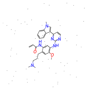 C=CC(=O)Nc1cc(Nc2nccc(-c3cn(C)c4ccccc34)n2)c(OC)cc1CCCN(C)C